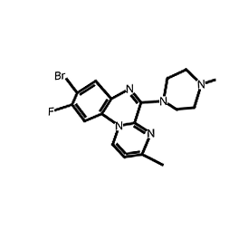 CC1=C=CN2C(=N1)C(N1CCN(C)CC1)=Nc1cc(Br)c(F)cc12